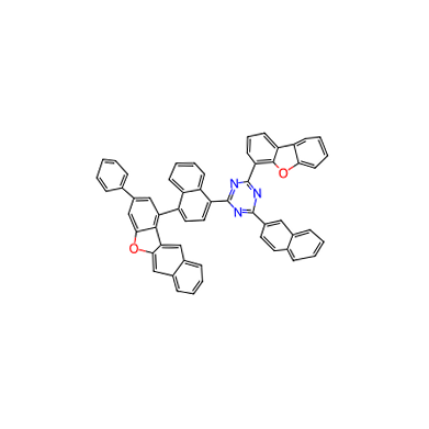 c1ccc(-c2cc(-c3ccc(-c4nc(-c5ccc6ccccc6c5)nc(-c5cccc6c5oc5ccccc56)n4)c4ccccc34)c3c(c2)oc2cc4ccccc4cc23)cc1